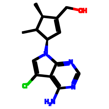 CC1[C@H](n2cc(Cl)c3c(N)ncnc32)C=C(CO)[C@@H]1C